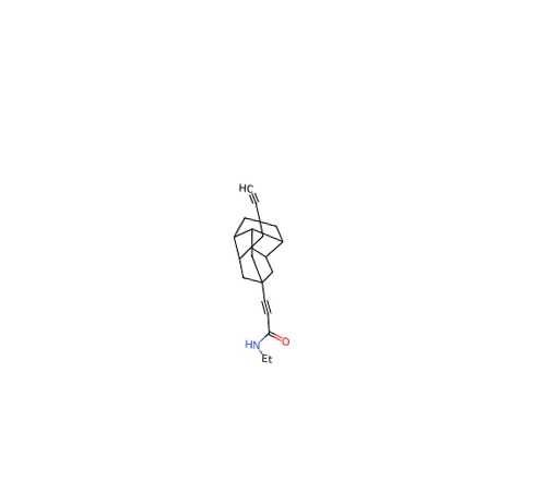 C#CC12CC3C4CC5(C#CC(=O)NCC)CC3C(C1)C(C5)C4C2